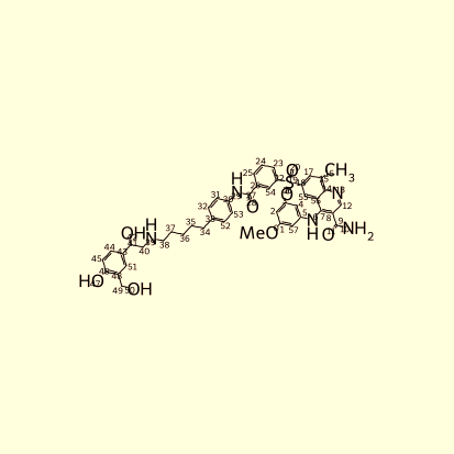 COc1cccc(Nc2c(C(N)=O)cnc3c(C)cc(S(=O)(=O)c4cccc(C(=O)Nc5ccc(CCCCCNCC(O)c6ccc(O)c(CO)c6)cc5)c4)cc23)c1